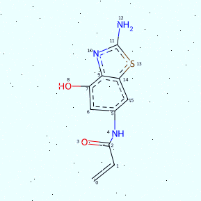 C=CC(=O)Nc1cc(O)c2nc(N)sc2c1